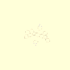 CC(C)c1ccc2cc3c4c(-c5ccncc5)c5cc6c7ccccc7c7cccc(c5c(-c5ccncc5)c4c4cc(C(C)C)c5ccc1c2c5c34)c76